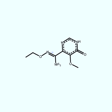 CCO/N=C(\N)c1nc[nH]c(=O)c1OC